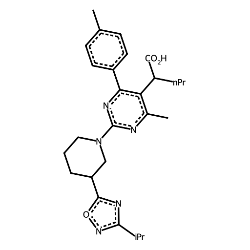 CCCC(C(=O)O)c1c(C)nc(N2CCCC(c3nc(C(C)C)no3)C2)nc1-c1ccc(C)cc1